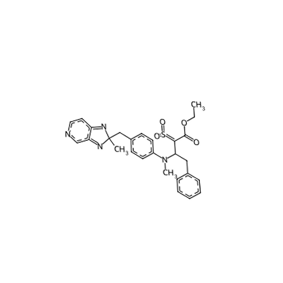 CCOC(=O)C(C(Cc1ccccc1)N(C)c1ccc(CC2(C)N=c3ccncc3=N2)cc1)=S(=O)=O